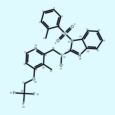 Cc1ccccc1S(=O)(=O)n1c([S+]([O-])Cc2nccc(OCC(F)(F)F)c2C)nc2ccccc21